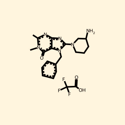 Cc1nc2nc(N3CCCC(N)C3)n(Cc3ccccc3)c2c(=O)n1C.O=C(O)C(F)(F)F